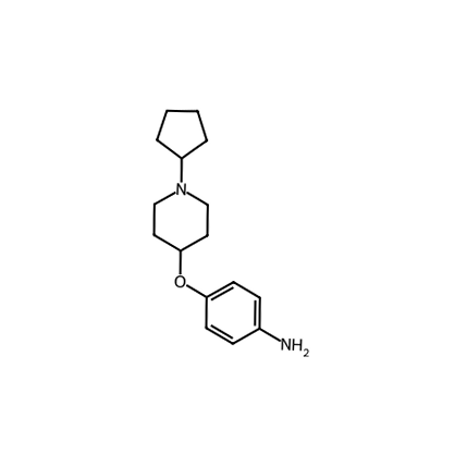 Nc1ccc(OC2CCN(C3CCCC3)CC2)cc1